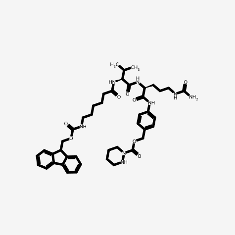 CC(C)[C@H](NC(=O)CCCCCNC(=O)OCC1c2ccccc2-c2ccccc21)C(=O)N[C@@H](CCCNC(N)=O)C(=O)Nc1ccc(COC(=O)N2CCCCN2)cc1